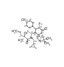 C=CC[C@@]1(C)O[C@H](c2cccc(Cl)c2)[C@@H](c2ccc(Cl)c(F)c2)N([C@H](CSC(C)(C)C)C2CC2)C1=O